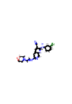 N#Cc1cc2cc(NCCN3CCOCC3)ncc2nc1Nc1cccc(Br)c1